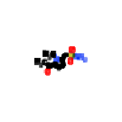 CC(=O)c1ccc(CS(N)(=O)=O)n1C